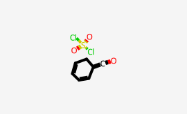 O=C=C1C=CC=CC1.O=S(=O)(Cl)Cl